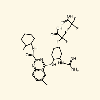 Cc1ccc2nc(C(=O)NC3CCCCC3C)nc(NC3CCCCC3NC(=N)N)c2c1.O=C(O)C(F)(F)F.O=C(O)C(F)(F)F